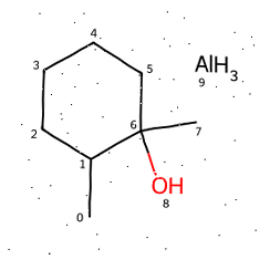 CC1CCCCC1(C)O.[AlH3]